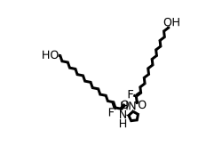 O=C(N[C@H]1CCC[C@H]1NC(=O)/C(F)=C/CCCCCCCCCCCCCCO)/C(F)=C/CCCCCCCCCCCCCCO